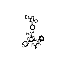 CCC1CN([C@H]2CC[C@H](CNc3nc(N4CCOCC4)cc(-n4c(C(F)F)nc5ccccc54)n3)CC2)C(=O)O1